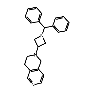 c1ccc(C(c2ccccc2)N2CC(N3CCc4cnccc4C3)C2)cc1